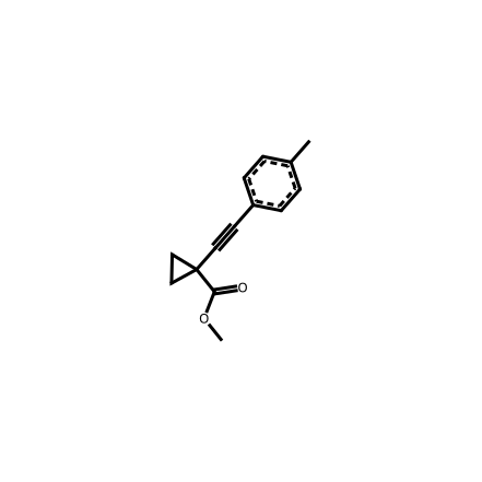 COC(=O)C1(C#Cc2ccc(C)cc2)CC1